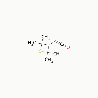 CC1(C)SC(C)(C)C1C=C=O